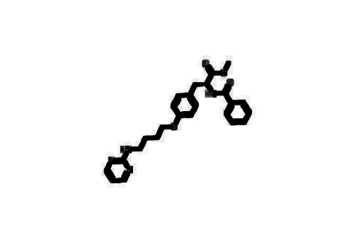 COC(=O)[C@H](Cc1ccc(OCCCCNc2ncccn2)cc1)NC(=O)c1ccccc1